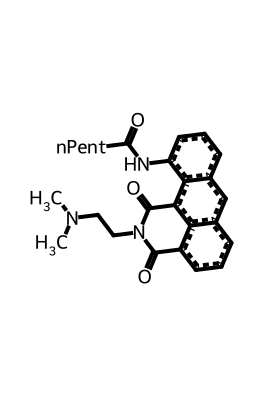 CCCCCC(=O)Nc1cccc2cc3cccc4c3c(c12)C(=O)N(CCN(C)C)C4=O